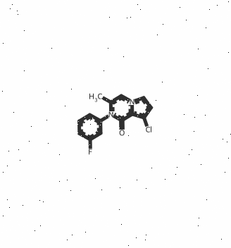 Cc1cn2ccc(Cl)c2c(=O)n1-c1cccc(F)c1